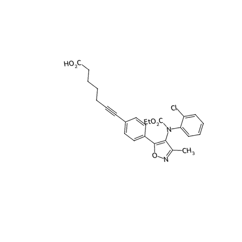 CCOC(=O)N(c1ccccc1Cl)c1c(C)noc1-c1ccc(C#CCCCCC(=O)O)cc1